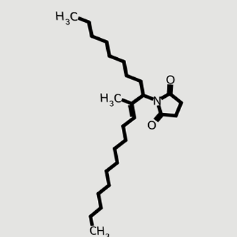 CCCCCCCCCCC=C(C)C(CCCCCCCC)N1C(=O)CCC1=O